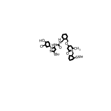 CSc1ccccc1Cn1c(C)cc(OCc2ccccc2CNC(=O)Nc2cc(C(C)(C)C)nn2-c2ccc(O)c(Cl)c2)cc1=O